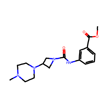 COC(=O)c1cccc(NC(=O)N2CC(N3CCN(C)CC3)C2)c1